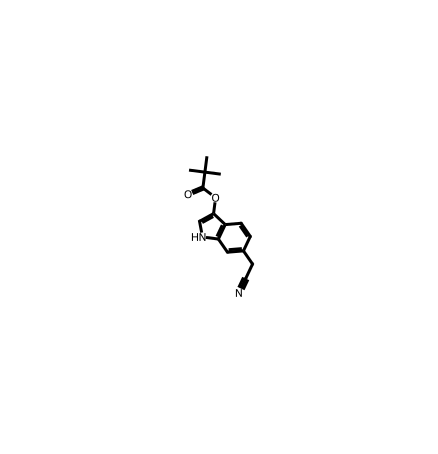 CC(C)(C)C(=O)Oc1c[nH]c2cc(CC#N)ccc12